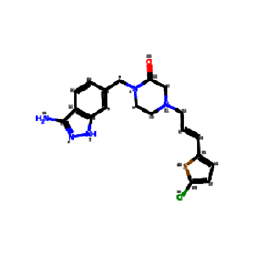 Nc1n[nH]c2cc(CN3CCN(CC=Cc4ccc(Cl)s4)CC3=O)ccc12